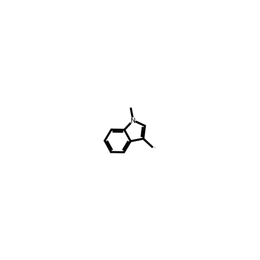 [CH2]c1cn(C)c2ccccc12